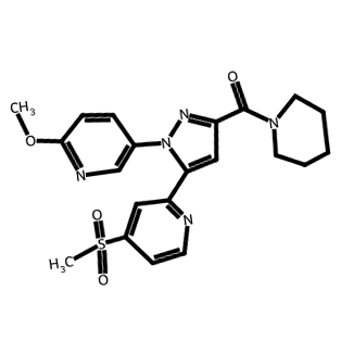 COc1ccc(-n2nc(C(=O)N3CCCCC3)cc2-c2cc(S(C)(=O)=O)ccn2)cn1